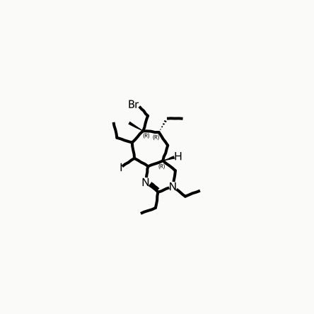 CCC1=NC2C(I)C(CC)[C@](C)(CBr)[C@H](CC)C[C@@H]2CN1CC